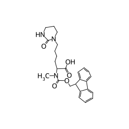 CN(C(=O)OCC1c2ccccc2-c2ccccc21)C(CCCCN1CCCNC1=O)C(=O)O